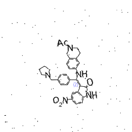 CC(=O)N1CCc2cc(N/C(=C3\C(=O)Nc4ccc([N+](=O)[O-])cc43)c3ccc(CN4CCCC4)cc3)ccc2C1